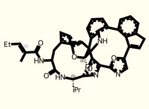 CC/C=C(\C)C(=O)NC1Cc2ccc3c(c2)C24c5cccc(c5N[C@H]2O3)-c2cccc3c2C(=CC3)c2cnc(o2)-c2nc(oc24)[C@H](C(C)C)NC1=O